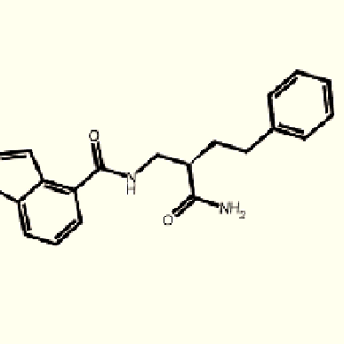 NC(=O)[C@H](CCc1ccccc1)CNC(=O)c1cccc2occc12